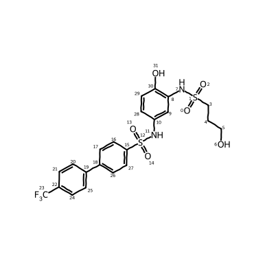 O=S(=O)(CCCO)Nc1cc(NS(=O)(=O)c2ccc(-c3ccc(C(F)(F)F)cc3)cc2)ccc1O